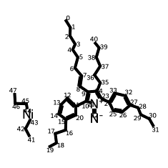 CCCCCCCC=CC1=C(c2cccc(CCCC)c2)[N+](=[N-])C(c2ccc(CCCC)cc2)=C1CCCCCC.CC[CH2][Ni][CH2]CC